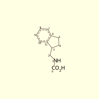 O=C(O)NCC1CCc2ccccc21